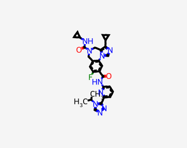 CC(C)n1cnnc1-c1cccc(NC(=O)c2cc3c(cc2F)CN(C(=O)NC2CC2)Cc2c(C4CC4)ncn2-3)n1